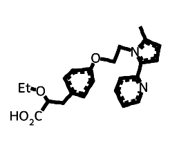 CCOC(Cc1ccc(OCCn2c(C)ccc2-c2ccccn2)cc1)C(=O)O